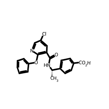 C[C@H](NC(=O)c1cc(Cl)cnc1Oc1ccccc1)c1ccc(C(=O)O)cc1